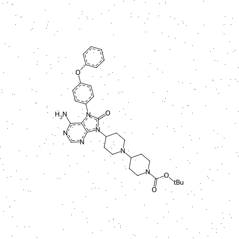 CC(C)(C)OC(=O)N1CCC(N2CCC(n3c(=O)n(-c4ccc(Oc5ccccc5)cc4)c4c(N)ncnc43)CC2)CC1